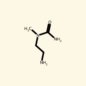 CN(CCN)C(N)=O